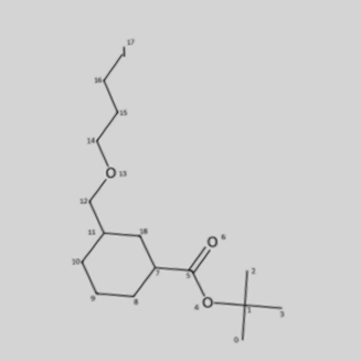 CC(C)(C)OC(=O)C1CCCC(COCCCI)C1